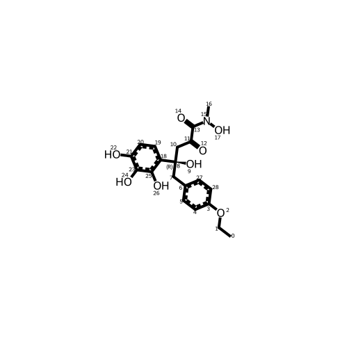 CCOc1ccc(C[C@@](O)(CC(=O)C(=O)N(C)O)c2ccc(O)c(O)c2O)cc1